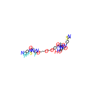 Cc1ncsc1-c1ccc(CNC(=O)[C@@H]2C[C@@H](O)CN2C(=O)[C@@H](NC(=O)c2ccc(OCCCOCCCCCOc3ncc(N4C(=S)N(c5ccc(C#N)c(C(F)(F)F)c5F)C(=O)C4(C)C)cc3F)cc2)C(C)(C)C)cc1